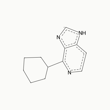 [c]1nc2c(C3CCCCC3)nccc2[nH]1